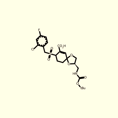 CC(C)(C)OC(=O)NC[C@@H]1COC2(C=C(C(=O)O)C(S(=O)(=O)Cc3ccc(F)cc3Cl)CC2)O1